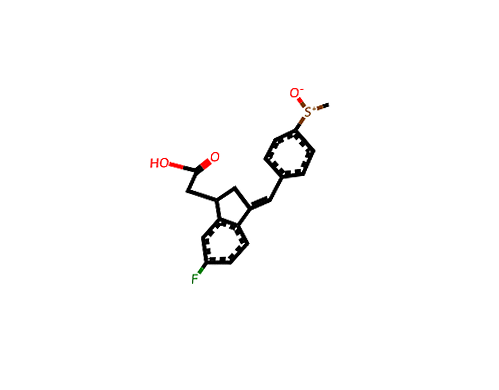 C[S+]([O-])c1ccc(/C=C2\CC(CC(=O)O)c3cc(F)ccc32)cc1